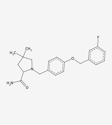 CC1(C)CC(C(N)=O)N(Cc2ccc(OCc3cccc(F)c3)cc2)C1